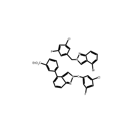 CCOC(=O)c1cccc(-c2cccc3nn(Cc4cc(F)cc(Cl)c4)cc23)c1.Fc1cc(Cl)cc(Cn2cc3c(Br)cccc3n2)c1